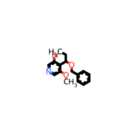 CCC(OCc1ccccc1)c1c(Br)cncc1OC